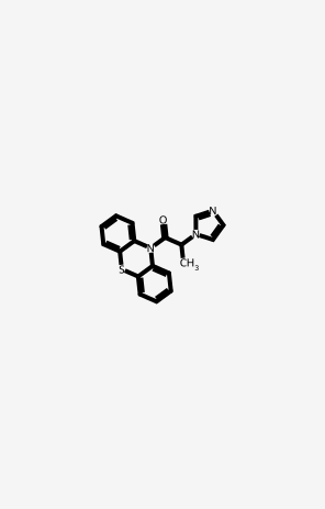 CC(C(=O)N1c2ccccc2Sc2ccccc21)n1ccnc1